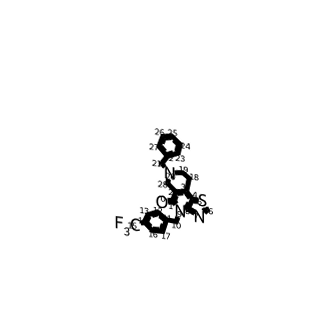 O=c1c2c(c3scnc3n1Cc1ccc(C(F)(F)F)cc1)CCN(Cc1ccccc1)C2